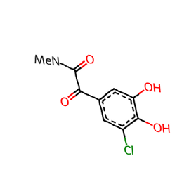 CNC(=O)C(=O)c1cc(O)c(O)c(Cl)c1